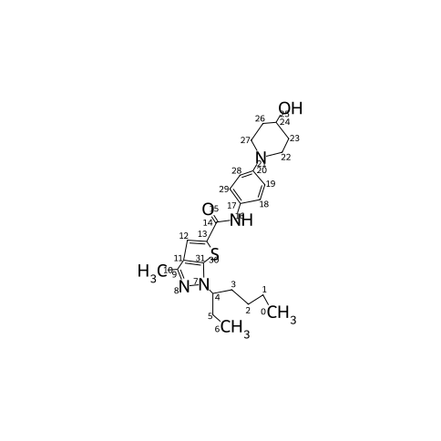 CCCCC(CC)n1nc(C)c2cc(C(=O)Nc3ccc(N4CCC(O)CC4)cc3)sc21